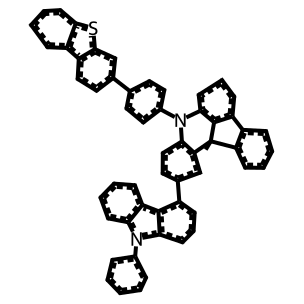 CC12c3ccccc3-c3cccc(c31)N(c1ccc(-c3ccc4c(c3)sc3ccccc34)cc1)c1ccc(-c3cccc4c3c3ccccc3n4-c3ccccc3)cc12